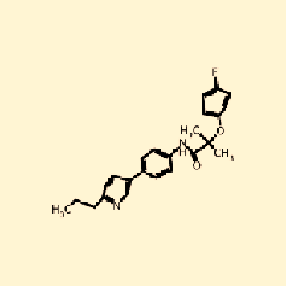 CCCc1ccc(-c2ccc(NC(=O)C(C)(C)Oc3ccc(F)cc3)cc2)cn1